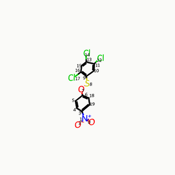 O=[N+]([O-])c1ccc(OSc2cc(Cl)c(Cl)cc2Cl)cc1